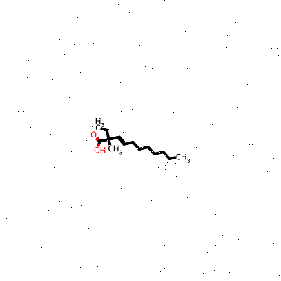 CCCCCCCC=CC(C)(CC)C(=O)O